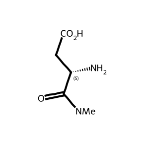 CNC(=O)[C@@H](N)CC(=O)O